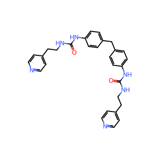 O=C(NCCc1ccncc1)Nc1ccc(Cc2ccc(NC(=O)NCCc3ccncc3)cc2)cc1